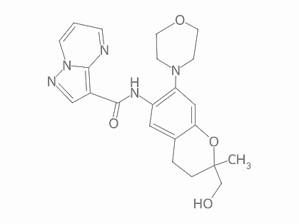 CC1(CO)CCc2cc(NC(=O)c3cnn4cccnc34)c(N3CCOCC3)cc2O1